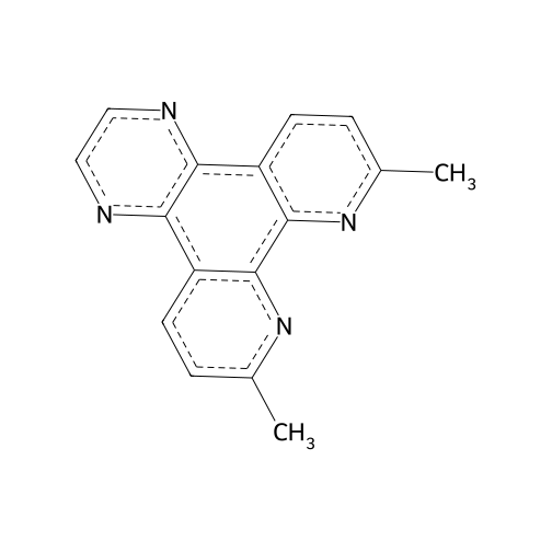 Cc1ccc2c3nccnc3c3ccc(C)nc3c2n1